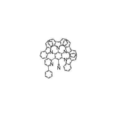 N#Cc1c(-c2cccc(-c3ccccc3)n2)c(-n2c3ccccc3c3ccccc32)c(-n2c3ccccc3c3ccccc32)c(-n2c3ccccc3c3ccccc32)c1-n1c2ccccc2c2ccccc21